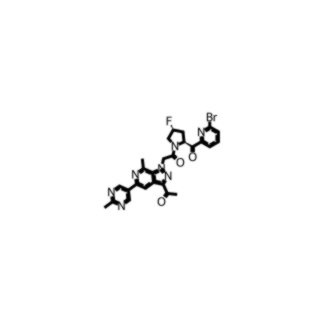 CC(=O)c1nn(CC(=O)N2C[C@H](F)C[C@H]2C(=O)c2cccc(Br)n2)c2c(C)nc(-c3cnc(C)nc3)cc12